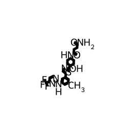 Cc1cc(Nc2nccc(C(F)(F)F)n2)cc(-c2cnc([C@]3(O)CC[C@H](NC(=O)CCC(N)=O)CC3)s2)c1